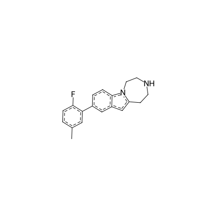 Cc1ccc(F)c(-c2ccc3c(c2)cc2n3CCNCC2)c1